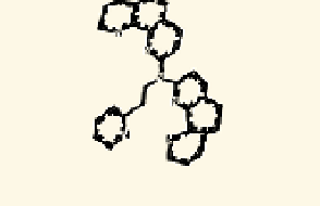 c1ccc(CCN(c2ccc3ccc4cccnc4c3n2)c2ccc3ccc4cccnc4c3n2)nc1